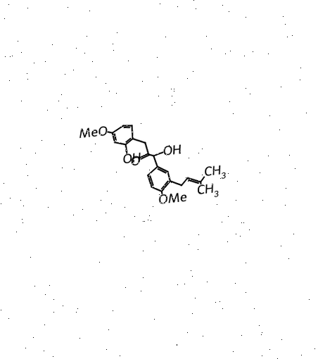 COc1ccc(CC(=O)C(O)c2ccc(OC)c(CC=C(C)C)c2)c(O)c1